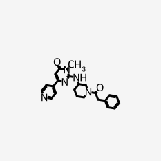 Cn1c(NC2CCCN(C(=O)Cc3ccccc3)C2)nc(-c2ccncc2)cc1=O